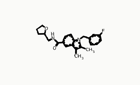 Cc1c(C)n(Cc2cccc(F)c2)c2ccc(C(=O)NCC3CCCO3)cc12